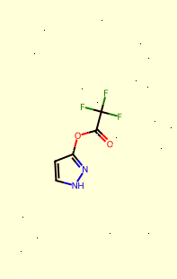 O=C(Oc1cc[nH]n1)C(F)(F)F